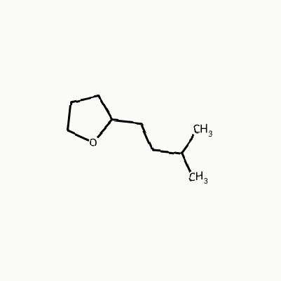 CC(C)CCC1CCCO1